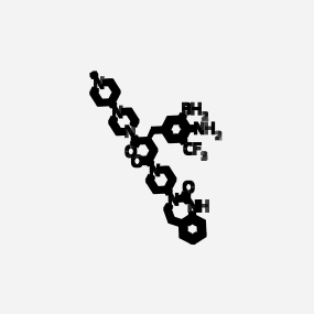 Bc1cc(C[C@@H](CC(=O)N2CCC(N3CCc4ccccc4NC3=O)CC2)C(=O)N2CCN(C3CCN(C)CC3)CC2)cc(C(F)(F)F)c1N